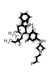 CCC(F)(F)CN1[C@H](c2c(F)cc(NC3CN(CCCF)C3)cc2F)c2[nH]c3ccccc3c2C[C@H]1C